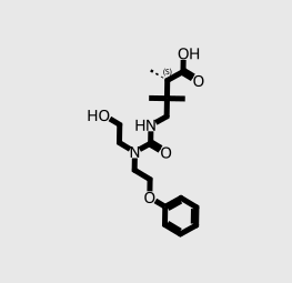 C[C@H](C(=O)O)C(C)(C)CNC(=O)N(CCO)CCOc1ccccc1